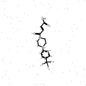 O=C(O)/C=C/C(=O)N1CCN(c2ccc(C(F)(F)F)cn2)CC1